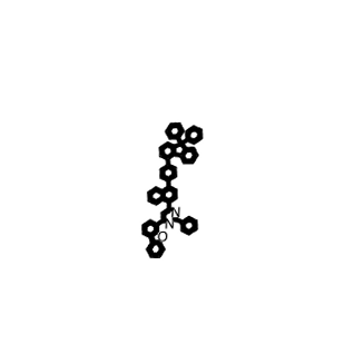 c1ccc(-c2nc(-c3ccc(-c4ccc(-c5cccc6c5-c5ccccc5C6(c5ccccc5)c5ccccc5)cc4)c4ccccc34)cc(-c3cccc4c3oc3ccccc34)n2)cc1